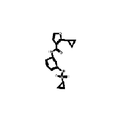 O=C(Nc1cccc(NS(=O)(=O)C2CC2)c1)c1ccoc1C1CC1